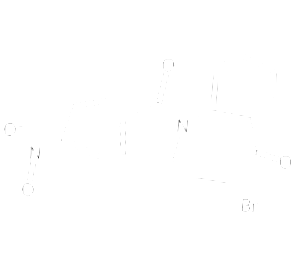 O=C1c2ccccc2N(C(=O)c2ccc([N+](=O)[O-])cc2)CCC1Br